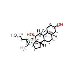 CC(CCC(=O)O)[C@H]1CC[C@H]2C3CC[C@@H]4CC(O)CC[C@]4(C)C3CC(O)[C@]12C